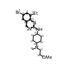 CCc1cc(Br)cc2cnc(NC3CCC(N(C)CCOC)CC3)nc12